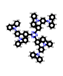 C1=Cc2c(c3ccccc3n2-c2ccc(-n3c4ccccc4c4ccccc43)c(-c3ccc(-c4nc(-c5ccc(-c6cc(-n7c8ccccc8c8ccccc87)ccc6-n6c7ccccc7c7ccccc76)cc5)nc(-c5ccc(-c6cc(-n7c8ccccc8c8ccccc87)ccc6-n6c7ccccc7c7ccccc76)cc5)n4)cc3)c2)CC1